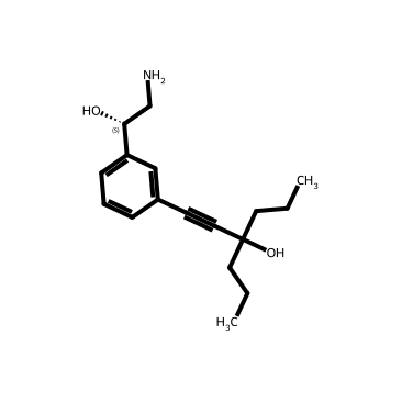 CCCC(O)(C#Cc1cccc([C@H](O)CN)c1)CCC